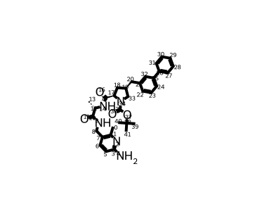 Cc1nc(N)ccc1CNC(=O)[C@H](C)NC(=O)[C@H]1C[C@@H](Cc2cccc(-c3ccccc3)c2)CN1C(=O)OC(C)(C)C